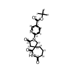 CC(C)(C)OC(=O)c1ccc(N2CC3(CCCC(=O)NC3=O)CC2=O)nc1